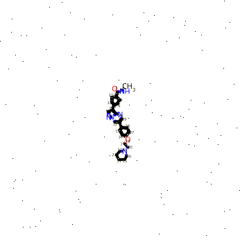 CNC(=O)c1ccc(-c2cnn3cc(-c4ccc(OCCN5CCCCC5)cc4)cnc23)cc1